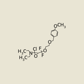 CCN(CC)C1(Cl)OC1C(F)(F)OCCOCc1ccc(OC)cc1